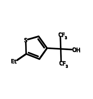 [CH2]Cc1cc(C(O)(C(F)(F)F)C(F)(F)F)cs1